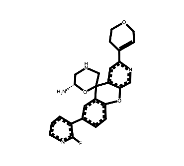 N[C@@H]1CNCC2(O1)c1cc(-c3cccnc3F)ccc1Oc1cnc(C3=CCOCC3)cc12